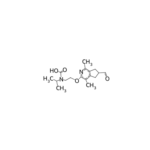 Cc1nc(OCCN(C(=O)O)C(C)C)c(C)c2c1CC(C=O)C2